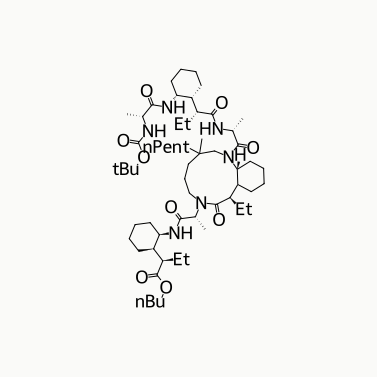 CCCCCC1(C)CCCN([C@H](C)C(=O)N[C@@H]2CCCC[C@@H]2[C@@H](CC)C(=O)OCCCC)C(=O)[C@H](CC)C2CCCC[C@H]2N(C(=O)[C@@H](C)NC(=O)[C@H](CC)[C@H]2CCCC[C@H]2NC(=O)[C@@H](C)NC(=O)OC(C)(C)C)C1